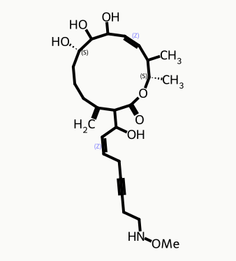 C=C1CCC[C@H](O)C(O)C(O)/C=C\C(C)[C@H](C)OC(=O)C1C(O)/C=C\CC#CCCNOC